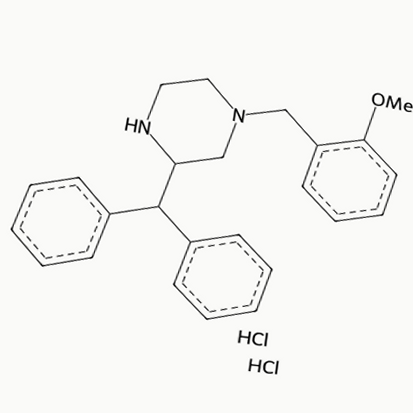 COc1ccccc1CN1CCNC(C(c2ccccc2)c2ccccc2)C1.Cl.Cl